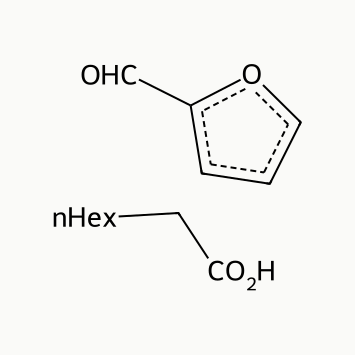 CCCCCCCC(=O)O.O=Cc1ccco1